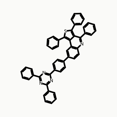 c1ccc(-c2nc(-c3ccccc3)nc(-c3ccc(-c4ccc5nc(-c6ccccc6)c6c(-c7ccccc7)sc(-c7ccccc7)c6c5c4)cc3)n2)cc1